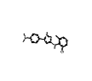 Cc1cccc(O)c1Nc1cc(-c2ccc(N(C)C)cc2)[nH]n1